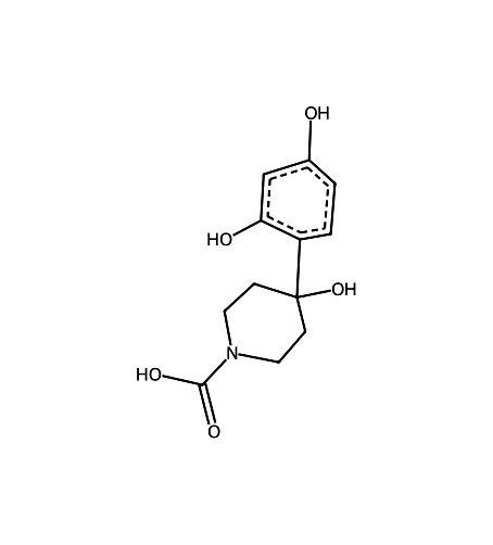 O=C(O)N1CCC(O)(c2ccc(O)cc2O)CC1